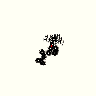 Bc1c(B)c(B)c(-c2cccc(-c3ccc4sc5cccc(-n6c7ccccc7c7cc(-n8c9ccccc9c9cc(-n%10c%11ccccc%11c%11ccccc%11%10)ccc98)ccc76)c5c4c3)c2)c(B)c1B